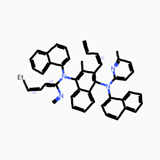 C=C/C=C\c1c(C)c(N(/C(=C/C=C\CC)N=C)c2cccc3ccccc23)c2ccccc2c1N(c1cccc(C)n1)c1cccc2ccccc12